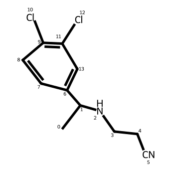 CC(NCCC#N)c1ccc(Cl)c(Cl)c1